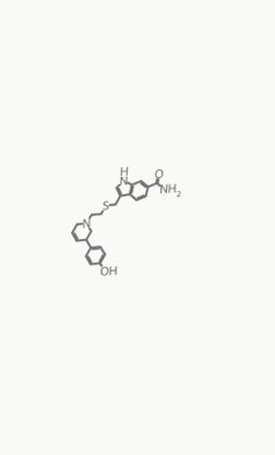 NC(=O)c1ccc2c(CSCCN3CC=CC(c4ccc(O)cc4)C3)c[nH]c2c1